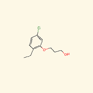 CCc1ccc(Cl)cc1OCCCO